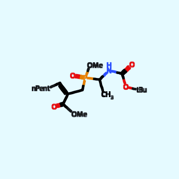 CCCCCC=C(CP(=O)(OC)C(C)NC(=O)OC(C)(C)C)C(=O)OC